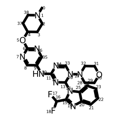 CN1CCC(Oc2ncc(NC3=NC(n4c(C(F)F)nc5ccccc54)N(N4CCOCC4)C=N3)cn2)CC1